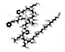 CCCC[C@@H](NC(=O)[C@@H]1CCCN1C(=O)CNC(=O)[C@H](CCCCN)NC(=O)[C@H](CS)NC(=O)[C@H](CO)NC(=O)[C@H](CC(C)C)NC(=O)[C@H](CS)NC(=O)[C@@H]1CCCN1C(=O)[C@H](CCCNC(=N)N)NC(=O)[C@H](CCC(N)=O)NC(=O)[C@H](CO)NC(=O)CNC(=O)CNC(=O)CNC(=O)CNC(=O)[C@@H](N)CCCCN=[N+]=[N-])C(=O)NCCc1ccccc1